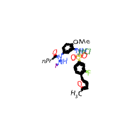 CCCC(=O)N(NI)c1ccc(OC)c(NS(=O)(=O)c2ccc(-c3ccc(C)o3)c(F)c2)c1.Cl